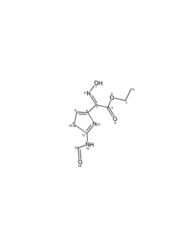 CCOC(=O)C(=NO)c1csc(NC=O)n1